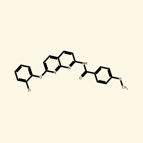 COc1ccc(C(=O)Nc2ccc3ccc(Oc4ccccc4Cl)nc3n2)cc1